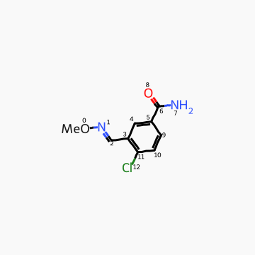 CON=Cc1cc(C(N)=O)ccc1Cl